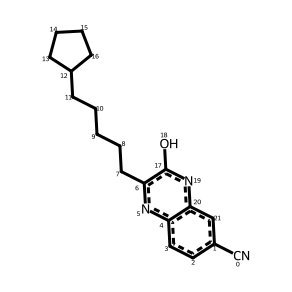 N#Cc1ccc2nc(CCCCCC3CCCC3)c(O)nc2c1